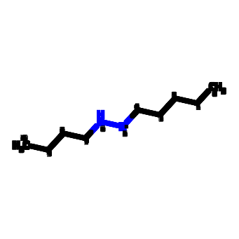 CCCCC[N]NCCCC